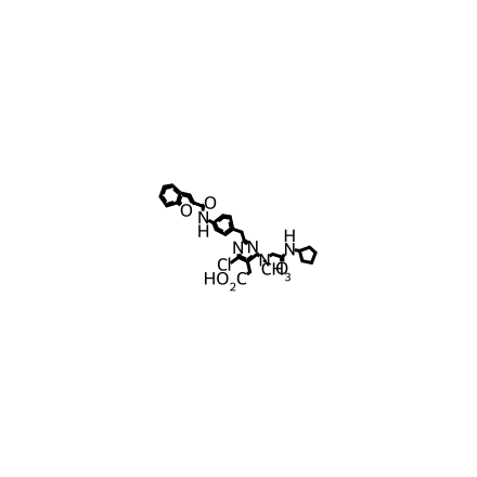 CN(CC(=O)NC1CCCC1)c1nc(Cc2ccc(NC(=O)c3cc4ccccc4o3)cc2)nc(Cl)c1CC(=O)O